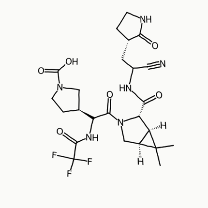 CC1(C)[C@@H]2[C@@H](C(=O)NC(C#N)C[C@@H]3CCNC3=O)N(C(=O)C(NC(=O)C(F)(F)F)[C@H]3CCN(C(=O)O)C3)C[C@@H]21